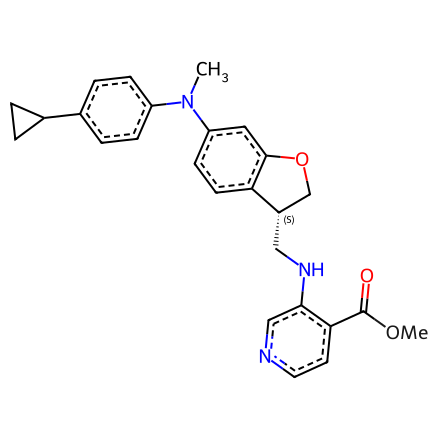 COC(=O)c1ccncc1NC[C@H]1COc2cc(N(C)c3ccc(C4CC4)cc3)ccc21